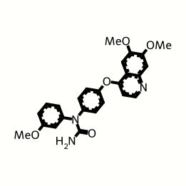 COc1cccc(N(C(N)=O)c2ccc(Oc3ccnc4cc(OC)c(OC)cc34)cc2)c1